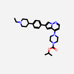 CCN1CCC(c2ccc(-c3cc4c(N5CCN(C(=O)OC(C)C)CC5)ccnn4c3)cc2)CC1